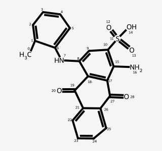 Cc1ccccc1Nc1cc(S(=O)(=O)O)c(N)c2c1C(=O)c1ccccc1C2=O